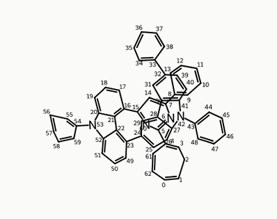 C1=CCC=C(c2nc(-c3ccccc3)cc(-c3cccc4c3c3c(-c5ccc6c(c5)c5cc(-c7ccccc7)ccc5n6-c5ccccc5)cccc3n4-c3ccccc3)n2)C=C1